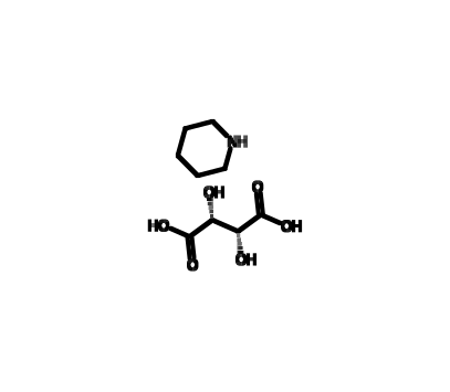 C1CCNCC1.O=C(O)[C@H](O)[C@@H](O)C(=O)O